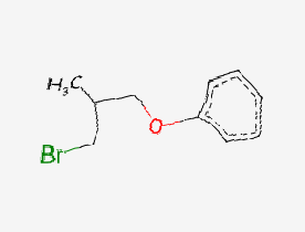 CC(CBr)COc1ccccc1